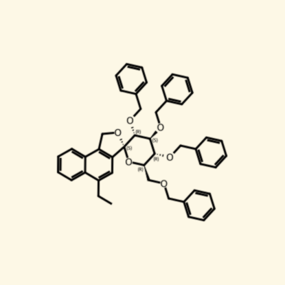 CCc1cc2c(c3ccccc13)CO[C@]21O[C@H](COCc2ccccc2)[C@@H](OCc2ccccc2)[C@H](OCc2ccccc2)[C@H]1OCc1ccccc1